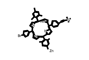 Cc1cc(C)c(-c2c3nc(c(-c4ccc(C#C[Si](C)(C)C)cc4)c4ccc([nH]4)c(-c4c(C)cc(C)cc4C)c4nc(c(-c5ccc(Br)cc5)c5ccc2[nH]5)C=C4)C=C3)c(C)c1.[Zn]